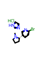 CN1CCC[C@H]1c1ccc(Br)nc1.Cl.c1c[nH]cn1